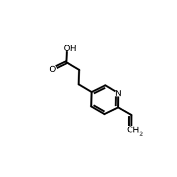 C=Cc1ccc(CCC(=O)O)cn1